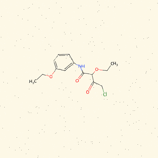 CCOc1cccc(NC(=O)C(OCC)C(=O)CCl)c1